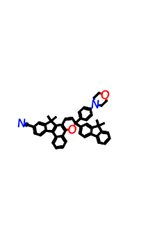 CC1(C)c2ccccc2-c2ccc(C3(c4ccc(N5CCOCC5)cc4)C=Cc4c5c(c6ccccc6c4O3)-c3ccc(C#N)cc3C5(C)C)cc21